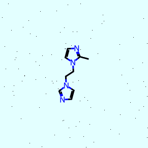 Cc1n[c]cn1CCn1ccnc1